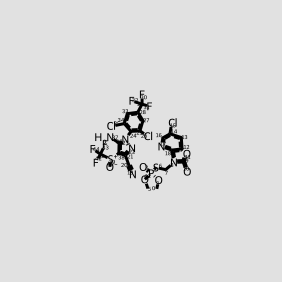 COP(=O)(OC)SCn1c(=O)oc2cc(Cl)cnc21.N#Cc1nn(-c2c(Cl)cc(C(F)(F)F)cc2Cl)c(N)c1[S+]([O-])C(F)(F)F